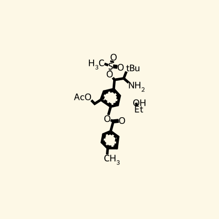 CC(=O)OCc1cc(C(OS(C)(=O)=O)C(N)C(C)(C)C)ccc1OC(=O)c1ccc(C)cc1.CCO